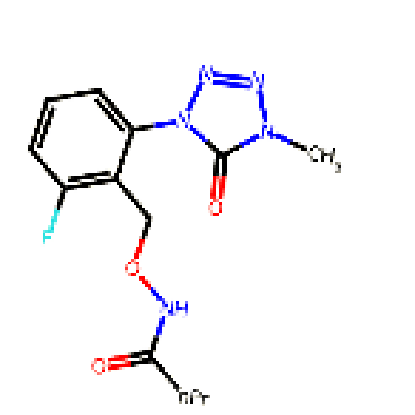 CCCC(=O)NOCc1c(F)cccc1-n1nnn(C)c1=O